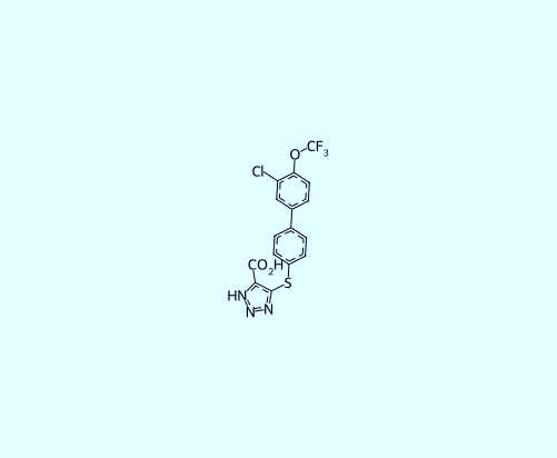 O=C(O)c1[nH]nnc1Sc1ccc(-c2ccc(OC(F)(F)F)c(Cl)c2)cc1